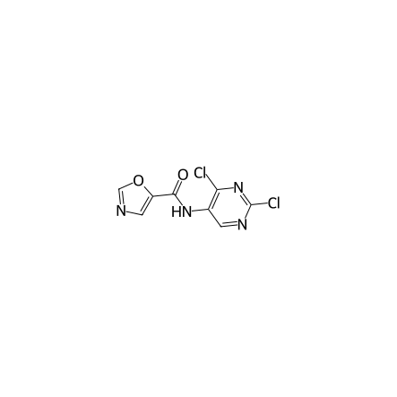 O=C(Nc1cnc(Cl)nc1Cl)c1cnco1